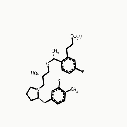 Cc1ccc(C[C@@H]2CCCN2C[C@H](O)CO[C@H](C)c2ccc(F)cc2CCC(=O)O)cc1F